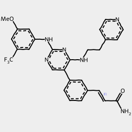 COc1cc(Nc2ncc(-c3cccc(/C=C/C(N)=O)c3)c(NCCc3ccncc3)n2)cc(C(F)(F)F)c1